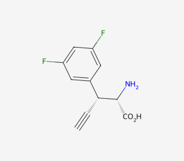 C#C[C@H](c1cc(F)cc(F)c1)[C@H](N)C(=O)O